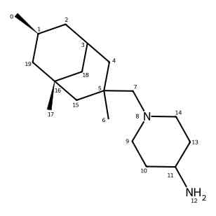 C[C@H]1CC2CC(C)(CN3CCC(N)CC3)C[C@@](C)(C2)C1